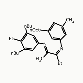 CCCCCCCCc1cc(C)cc(N=C(CC)C(C)=Nc2cc(CCCC)c(CC)c(CCCC)c2)c1